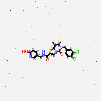 Cc1c(=O)n(Cc2ccc(Cl)c(Cl)c2)c(=O)n2cc(C(=O)NCc3ccc(O)nc3)sc12